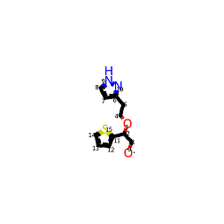 [O]CC(OCCc1cc[nH]n1)c1cccs1